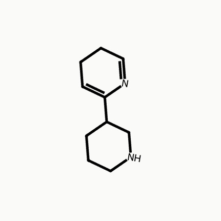 C1=NC(C2CCCNC2)=CCC1